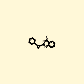 Clc1nc(C2CC2c2ccccc2)nc2ccccc12